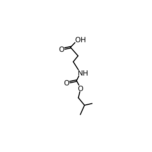 CC(C)COC(=O)NCCC(=O)O